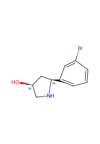 O[C@@H]1CN[C@H](c2cccc(Br)c2)C1